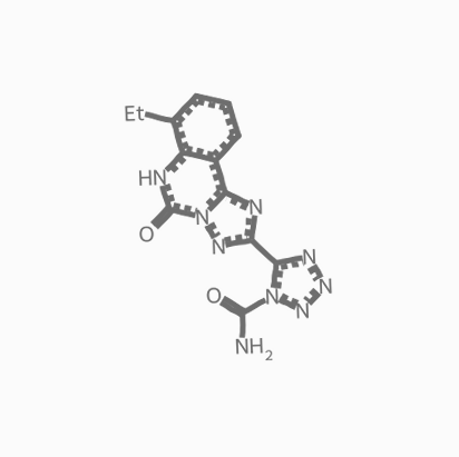 CCc1cccc2c1[nH]c(=O)n1nc(-c3nnnn3C(N)=O)nc21